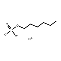 CCCCCCOP(=O)([O-])[O-].[Ni+2]